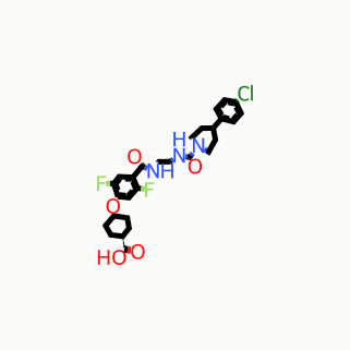 O=C(NCCNC(=O)N1CCC(c2ccc(Cl)cc2)CC1)c1cc(F)c(O[C@H]2CC[C@@H](C(=O)O)CC2)cc1F